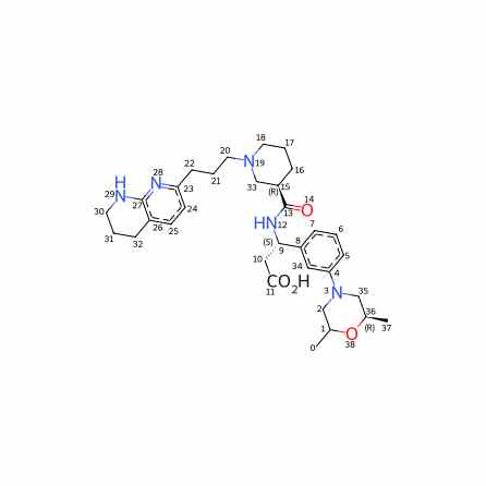 CC1CN(c2cccc([C@H](CC(=O)O)NC(=O)[C@@H]3CCCN(CCCc4ccc5c(n4)NCCC5)C3)c2)C[C@@H](C)O1